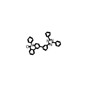 O=c1c2ccccc2c2cc(-c3cccc(-c4nc(-c5ccccc5)nc(-c5ccccc5)n4)c3)ccc2n1-c1ccccc1